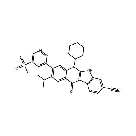 CC(C)c1cc2c(=O)c3c4ccc(C#N)cc4[nH]c3n(C3CCCCC3)c2cc1-c1cncc(S(=O)(=O)F)c1